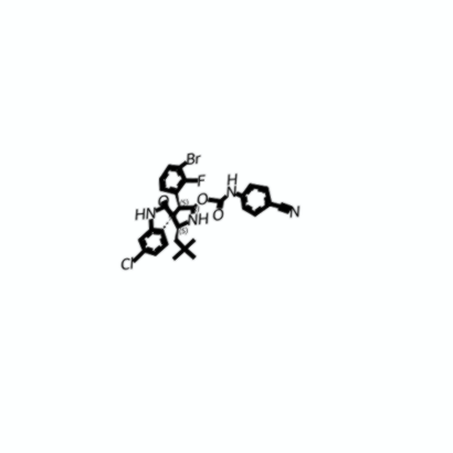 CC(C)(C)C[C@@H]1N[C@H](OC(=O)Nc2ccc(C#N)cc2)[C@H](c2cccc(Br)c2F)[C@]12C(=O)Nc1cc(Cl)ccc12